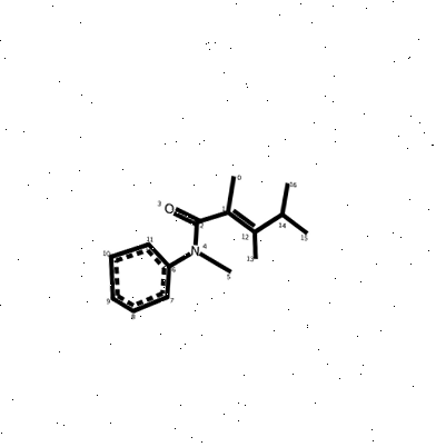 CC(C(=O)N(C)c1ccccc1)=C(C)C(C)C